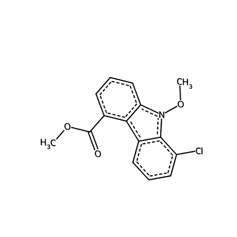 COC(=O)c1cccc2c1c1cccc(Cl)c1n2OC